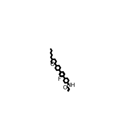 C=CC(=O)NC1CCC(c2ccc(C3CCC(C4CCC(CCCCC)CO4)CC3)cc2F)CC1